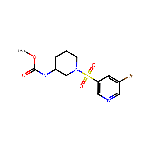 CC(C)(C)OC(=O)NC1CCCN(S(=O)(=O)c2cncc(Br)c2)C1